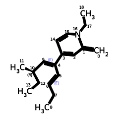 C=C1C=C(C(/C=C/CC)=C/[C@H](C)CC)C=CN1CC